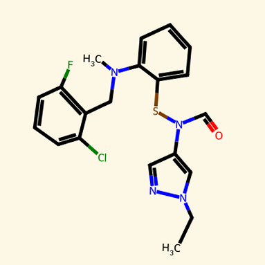 CCn1cc(N(C=O)Sc2ccccc2N(C)Cc2c(F)cccc2Cl)cn1